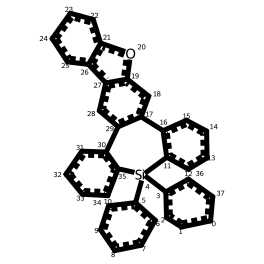 c1ccc([Si]2(c3ccccc3)c3ccccc3-c3cc4oc5ccccc5c4cc3-c3ccccc32)cc1